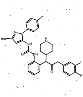 Cc1ccc(-n2nc(C(C)(C)C)cc2NC(=O)Nc2ccccc2C(C(=O)Cc2ccc(F)c(F)c2)C2CCNCC2)cc1